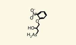 O=[N+]([O-])c1ccccc1OCC(O)C[AsH2]